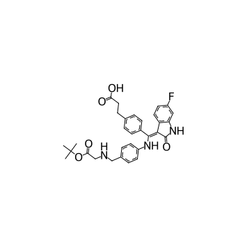 CC(C)(C)OC(=O)CNCc1ccc(N/C(=C2\C(=O)Nc3cc(F)ccc32)c2ccc(CCC(=O)O)cc2)cc1